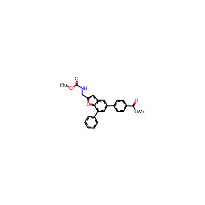 COC(=O)c1ccc(-c2cc(-c3ccccc3)c3oc(CNC(=O)OC(C)(C)C)cc3c2)cc1